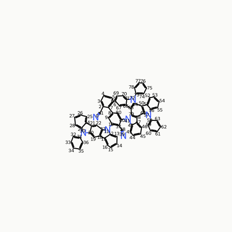 N#Cc1ccccc1-c1cc(-n2c3ccccc3c3cc4c(cc32)c2ccccc2n4-c2ccccc2)c(C#N)c(-n2c3ccccc3c3c4c(c5ccccc5n4-c4ccccc4)c4c(c5ccccc5n4-c4ccccc4)c32)c1